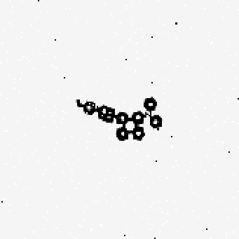 C=Cc1ccc(C23CC4CC5(c6ccc7c(c6)-c6ccccc6-c6ccccc6-c6cc(N(c8ccccc8)c8ccccc8)ccc6-7)CC(C2)C45C3)cc1